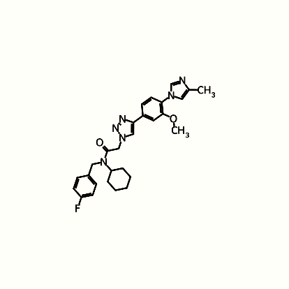 COc1cc(-c2cn(CC(=O)N(Cc3ccc(F)cc3)C3CCCCC3)nn2)ccc1-n1cnc(C)c1